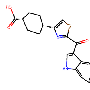 O=C(c1nc([C@H]2CC[C@@H](C(=O)O)CC2)cs1)c1c[nH]c2ccccc12